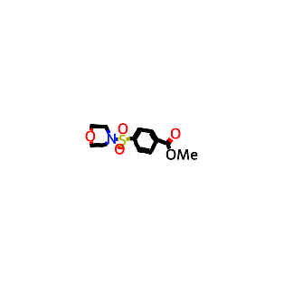 COC(=O)c1ccc(S(=O)(=O)N2CCOCC2)cc1